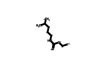 CC(C)CCCNC(=O)OCI